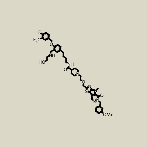 COc1cccc(Cn2ncc3c4sc(COCCN5CCC(C(=O)NCCCCc6ccc(OCc7ccc(F)c(C(F)(F)F)c7)c(CNCCO)c6)CC5)nc4n(C)c3c2=O)c1